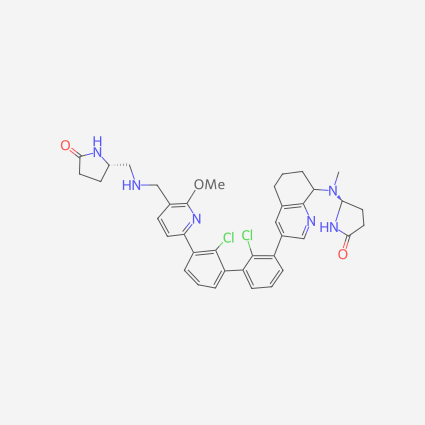 COc1nc(-c2cccc(-c3cccc(-c4cnc5c(c4)CCCC5N(C)[C@H]4CCC(=O)N4)c3Cl)c2Cl)ccc1CNC[C@@H]1CCC(=O)N1